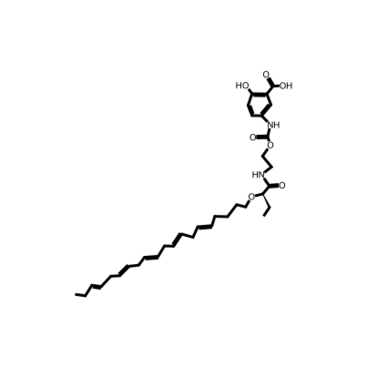 CCC=CCC=CCC=CCC=CCC=CCCCCO[C@H](CC)C(=O)NCCOC(=O)Nc1ccc(O)c(C(=O)O)c1